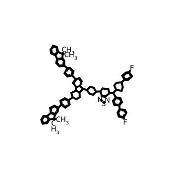 CC1(C)c2ccccc2-c2ccc(-c3ccc(C4=CC5C(C=C4)C(C4CCC(C6CCC(C(c7ccc(-c8ccc(F)cc8)cc7)C7CCC(c8ccc(F)cc8)CC7)c7nsnc76)CC4)C4CCC(c6ccc(-c7ccc8c(c7)C(C)(C)c7ccccc7-8)cc6)CC54)cc3)cc21